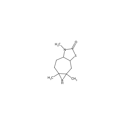 CN1C(=O)SC2CC3(C)BC3(C)CCC21